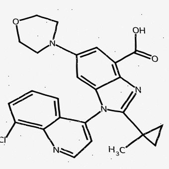 CC1(c2nc3c(C(=O)O)cc(N4CCOCC4)cc3n2-c2ccnc3c(Cl)cccc23)CC1